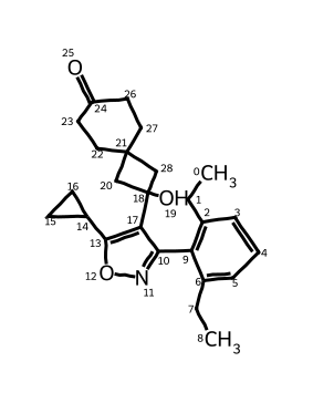 CCc1cccc(CC)c1-c1noc(C2CC2)c1C1(O)CC2(CCC(=O)CC2)C1